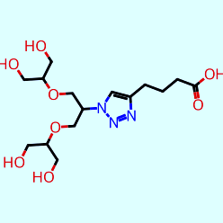 O=C(O)CCCc1cn(C(COC(CO)CO)COC(CO)CO)nn1